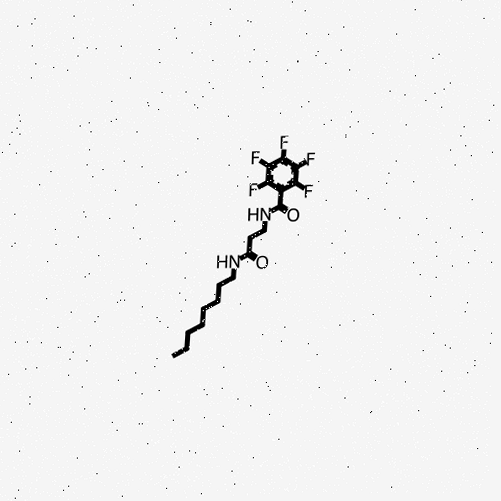 CCCCCCCCNC(=O)CCNC(=O)c1c(F)c(F)c(F)c(F)c1F